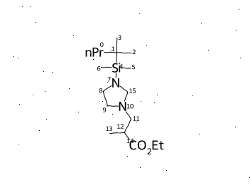 CCCC(C)(C)[Si](C)(C)N1CCN(CC(C)C(=O)OCC)C1